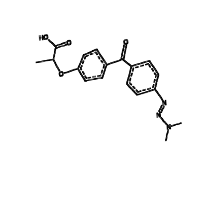 CC(Oc1ccc(C(=O)c2ccc(N=NN(C)C)cc2)cc1)C(=O)O